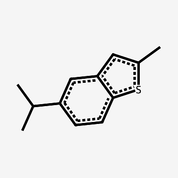 Cc1cc2cc(C(C)C)ccc2s1